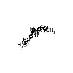 Cc1ccc(Oc2ccc(Nc3ncnc4c3NC(c3ccc(CNCCS(C)(=O)=O)cc3)C4)cc2C)cn1